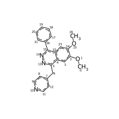 COc1cc2c(Cc3ccncc3)nnc(-c3ccccc3)c2cc1OC